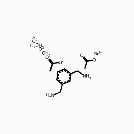 CC(=O)[O-].CC(=O)[O-].NCc1cccc(CN)c1.O.O.O.O.[Ni+2]